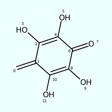 C=C1C(O)=C(O)C(=O)C(O)=C1O